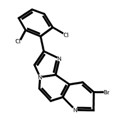 Clc1cccc(Cl)c1-c1cn2ccc3ncc(Br)cc3c2n1